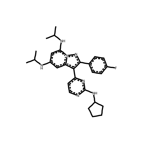 CC(C)Nc1cc(NC(C)C)n2nc(-c3ccc(F)cc3)c(-c3ccnc(NC4CCCC4)n3)c2c1